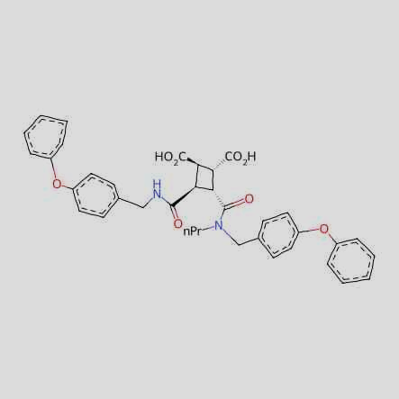 CCCN(Cc1ccc(Oc2ccccc2)cc1)C(=O)[C@H]1[C@@H](C(=O)O)[C@H](C(=O)O)[C@@H]1C(=O)NCc1ccc(Oc2ccccc2)cc1